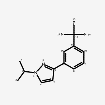 CC(C)n1ccc(-c2cccc(C(F)(F)F)c2)n1